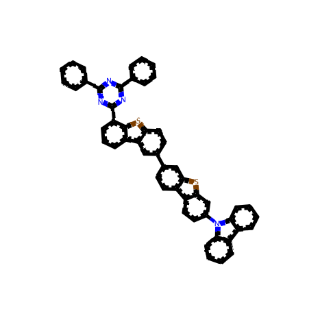 c1ccc(-c2nc(-c3ccccc3)nc(-c3cccc4c3sc3ccc(-c5ccc6c(c5)sc5cc(-n7c8ccccc8c8ccccc87)ccc56)cc34)n2)cc1